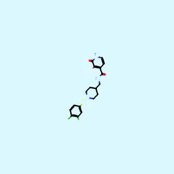 Cn1ccc(C(=O)NCC2CCN(S(=O)(=O)c3ccc(Cl)c(Cl)c3)CC2)c(O)c1=O